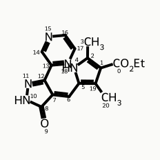 CCOC(=O)c1c(C)[nH]c(/C=C2/C(=O)NN=C2c2cnccn2)c1C